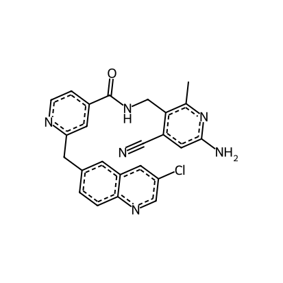 Cc1nc(N)cc(C#N)c1CNC(=O)c1ccnc(Cc2ccc3ncc(Cl)cc3c2)c1